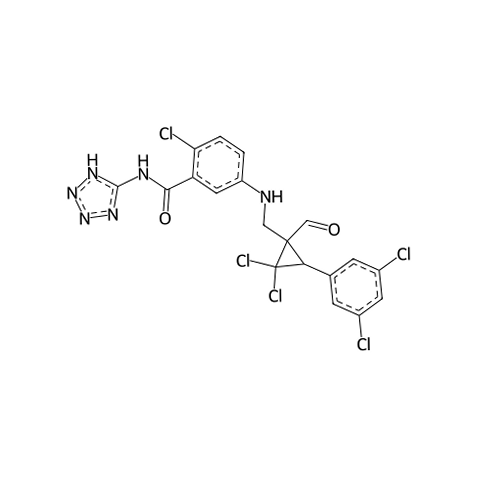 O=CC1(CNc2ccc(Cl)c(C(=O)Nc3nnn[nH]3)c2)C(c2cc(Cl)cc(Cl)c2)C1(Cl)Cl